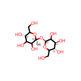 [2H][C@@]1(O[C@@H]2OC(CO)[C@@H](O)[C@H](O)C2O)OC(CO)[C@@H](O)C(O)C1O